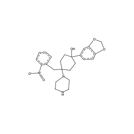 O=[N+]([O-])c1ccccc1CC1(N2CCNCC2)CCC(O)(c2ccc3c(c2)OCO3)CC1